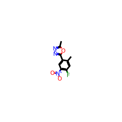 Cc1nnc(-c2cc([N+](=O)[O-])c(F)cc2C)o1